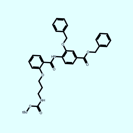 CC(C)(C)OC(=O)NCCCOc1ccccc1C(=O)Nc1ccc(C(=O)OCc2ccccc2)cc1OCc1ccccc1